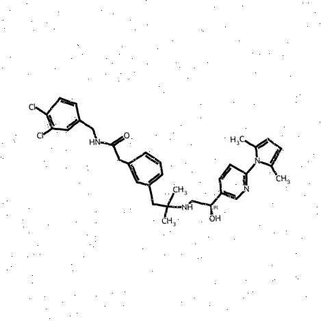 Cc1ccc(C)n1-c1ccc([C@@H](O)CNC(C)(C)Cc2cccc(CC(=O)NCc3ccc(Cl)c(Cl)c3)c2)cn1